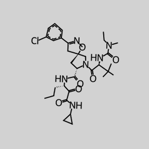 CCC[C@H](NC(=O)[C@@H]1C[C@]2(CC(c3cccc(Cl)c3)=NO2)CN1C(=O)[C@@H](NC(=O)N(C)CC)C(C)(C)C)C(=O)C(=O)NC1CC1